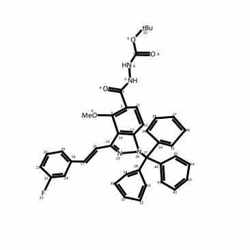 COc1c(C(=O)NNC(=O)OC(C)(C)C)ccc2c1c(/C=C/c1cccc(F)c1)nn2C(c1ccccc1)(c1ccccc1)c1ccccc1